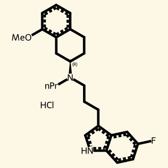 CCCN(CCCc1c[nH]c2ccc(F)cc12)[C@@H]1CCc2cccc(OC)c2C1.Cl